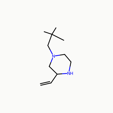 C=CC1CN(CC(C)(C)C)CCN1